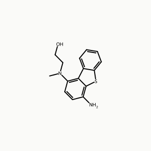 CN(CCO)c1ccc(N)c2sc3ccccc3c12